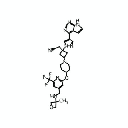 CC1(NCc2cc(OC3CCN([C@H]4C[C@](CC#N)(n5cc(-c6ncnc7[nH]ccc67)cn5)C4)CC3)nc(C(F)(F)F)c2)COC1